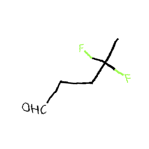 CC(F)(F)CCC=O